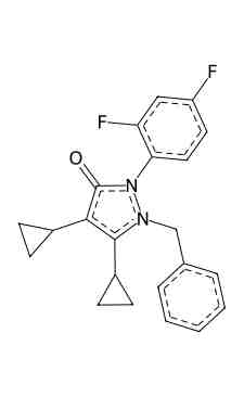 O=c1c(C2CC2)c(C2CC2)n(Cc2ccccc2)n1-c1ccc(F)cc1F